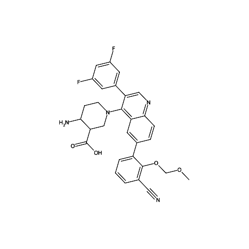 COCOc1c(C#N)cccc1-c1ccc2ncc(-c3cc(F)cc(F)c3)c(N3CCC(N)C(C(=O)O)C3)c2c1